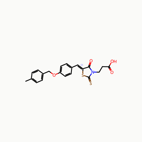 Cc1ccc(COc2ccc(/C=C3\SC(=S)N(CCC(=O)O)C3=O)cc2)cc1